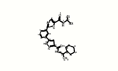 CCC(CC)NC(=O)c1cnc(-c2cccc(-c3cc(C(=O)NC(C)C4CCCCC4)n[nH]3)c2)o1